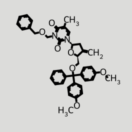 C=C1C[C@H](n2cc(C)c(=O)n(COCc3ccccc3)c2=O)O[C@@H]1COC(c1ccccc1)(c1ccc(OC)cc1)c1ccc(OC)cc1